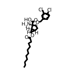 CCCCCCCCCCC(=O)O[C@@]1(F)[C@@H]2C[C@@H](OCc3ccc(Cl)c(Cl)c3)[C@@](N)(C(=O)O)[C@@H]21